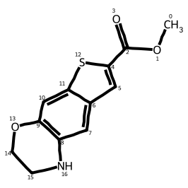 COC(=O)c1cc2cc3c(cc2s1)OCCN3